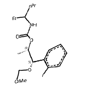 CCCC(CC)NC(=O)O[C@@H](C)[C@@H](OCOC)c1ccccc1I